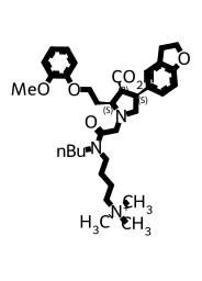 CCCCN(CCCC[N+](C)(C)C)C(=O)CN1C[C@H](c2ccc3c(c2)CCO3)[C@@H](C(=O)O)[C@@H]1CCOc1ccccc1OC